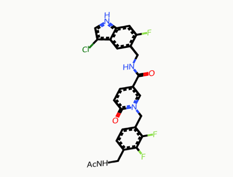 CC(=O)NCc1ccc(Cn2cc(C(=O)NCc3cc4c(Cl)c[nH]c4cc3F)ccc2=O)c(F)c1F